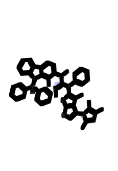 C/N=C(/N(C)c1ccc2c3ccccc3n([SiH](c3ccccc3)c3ccccc3)c2c1C)N(c1ccccc1)c1oc2occ(-n3c(C)cc(C)c3C)c2c1C